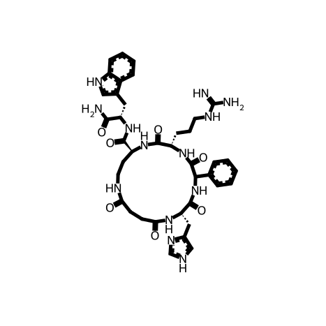 N=C(N)NCCC[C@@H]1NC(=O)C(c2ccccc2)NC(=O)[C@H](Cc2c[nH]cn2)NC(=O)CCC(=O)NCC[C@@H](C(=O)N[C@@H](Cc2c[nH]c3ccccc23)C(N)=O)NC1=O